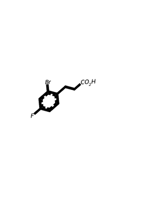 O=C(O)CCc1ccc(F)cc1Br